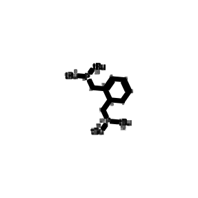 CC(C)(C)P(CC1=CC=CCC1CP(C(C)(C)C)C(C)(C)C)C(C)(C)C